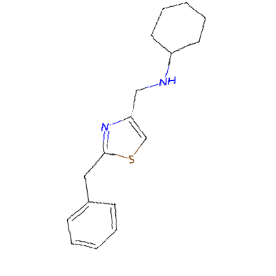 c1ccc(Cc2nc(CNC3CCCCC3)cs2)cc1